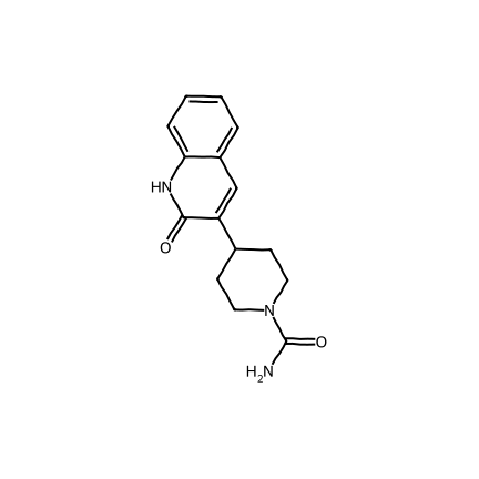 NC(=O)N1CCC(c2cc3ccccc3[nH]c2=O)CC1